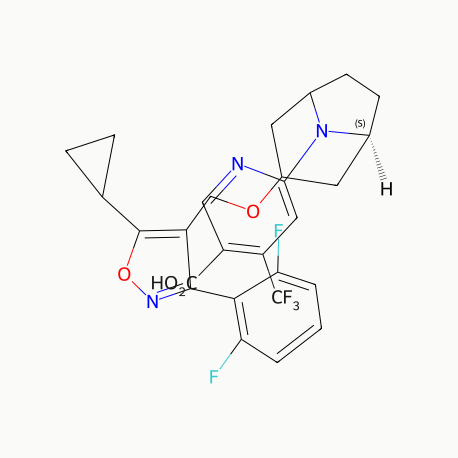 O=C(O)c1cnc(N2C3CC[C@H]2CC(OCc2c(-c4c(F)cccc4F)noc2C2CC2)C3)cc1C(F)(F)F